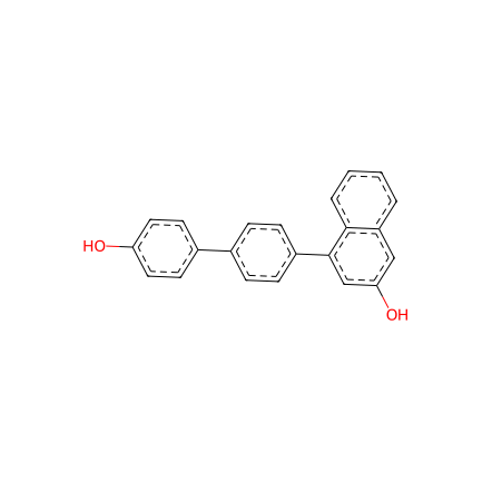 Oc1ccc(-c2ccc(-c3cc(O)cc4ccccc34)cc2)cc1